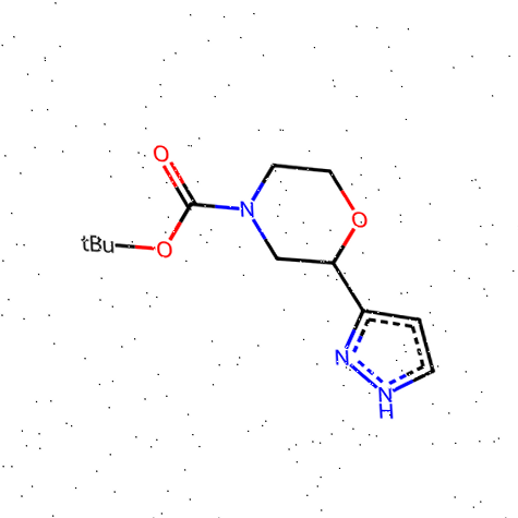 CC(C)(C)OC(=O)N1CCOC(c2cc[nH]n2)C1